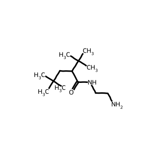 CC(C)(C)CC(C(=O)NCCN)C(C)(C)C